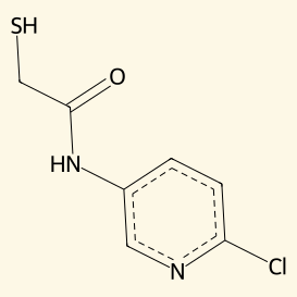 O=C(CS)Nc1ccc(Cl)nc1